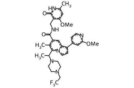 COc1cc(-c2ccn3c(C(C)N4CCN(CC(F)(F)F)CC4)c(C)c(C(=O)NCc4c(OC)cc(C)[nH]c4=O)cc23)ccn1